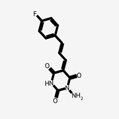 NN1C(=O)NC(=O)/C(=C\C=C\c2ccc(F)cc2)C1=O